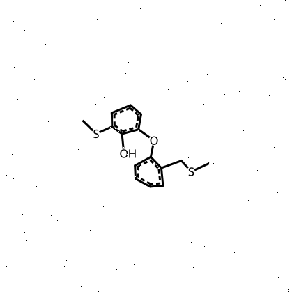 CSCc1ccccc1Oc1cccc(SC)c1O